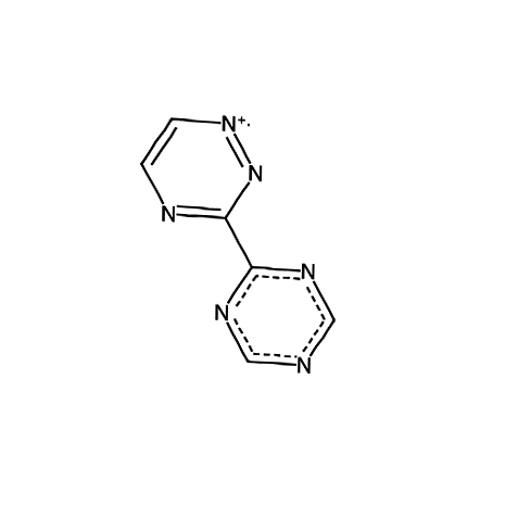 C1=C[N+]=NC(c2ncncn2)=N1